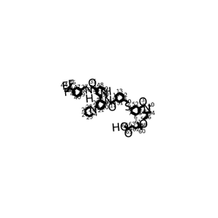 CN(C(=O)c1cccc(SCc2cccc(C(=O)Nc3ccc(N4CCCCC4)cc3-c3cc(C(=O)NCc4cccc(C(F)(F)F)c4)ccn3)c2)c1)C(C)(C)CCOC(C)(C)CCC(=O)O